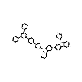 c1ccc(-c2cc(-c3ccccc3)cc(-c3ccc(-c4cnc(-n5c6ccccc6c6cc(-c7ccc8c9ccccc9n(-c9ccccc9)c8c7)ccc65)nc4)cc3)c2)cc1